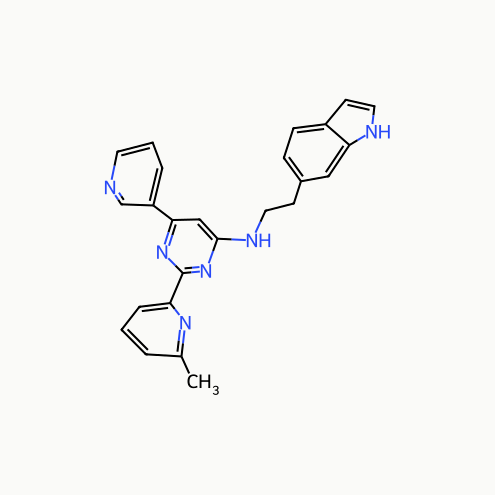 Cc1cccc(-c2nc(NCCc3ccc4cc[nH]c4c3)cc(-c3cccnc3)n2)n1